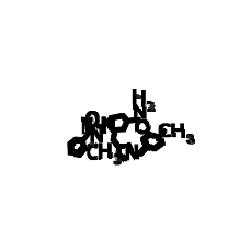 Cc1ccc(CN2CCC(CC3CC(C(N)=O)CCN3c3nc(-c4ccccc4C)no3)C2)cc1